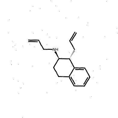 C=CCN[C@@H]1CCc2ccccc2[C@H]1CC=C